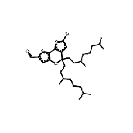 CC(C)CCCC(C)CCC1(CCC(C)CCCC(C)C)Oc2cc(C=O)sc2-c2sc(Br)cc21